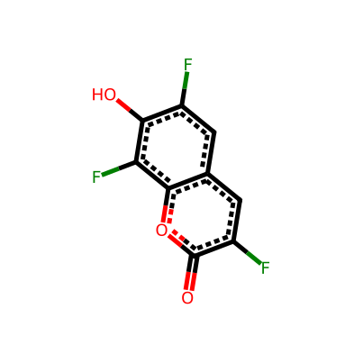 O=c1oc2c(F)c(O)c(F)cc2cc1F